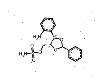 Nc1ccccc1[C@H]1OC(c2ccccc2)O[C@@H]1COS(N)(=O)=O